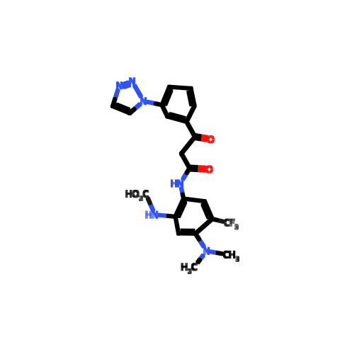 CN(C)c1cc(NC(=O)O)c(NC(=O)CC(=O)c2cccc(-n3ccnn3)c2)cc1C(F)(F)F